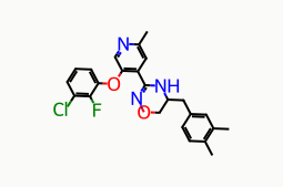 Cc1cc(C2=NOCC(Cc3ccc(C)c(C)c3)N2)c(Oc2cccc(Cl)c2F)cn1